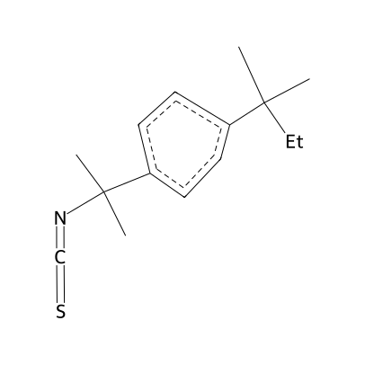 CCC(C)(C)c1ccc(C(C)(C)N=C=S)cc1